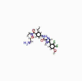 CCc1cc(NC(=O)c2ncc(-c3ccc(OC)c(F)c3F)n2C)ccc1C(=O)N(CC)OCCN